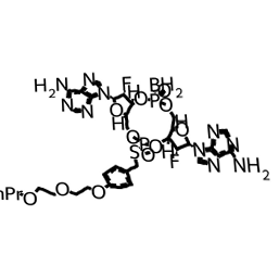 B[P@@]1(=O)OC[C@H]2O[C@@H](n3cnc4c(N)ncnc43)[C@H](F)[C@@H]2O[P@@](=O)(SCc2ccc(OCCOCCOCCC)cc2)OC[C@H]2O[C@@H](n3cnc4c(N)ncnc43)[C@H](F)[C@@H]2O1